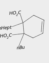 CCCCCCCC1(C(=O)O)CC=CCC1(CCCC)C(=O)O